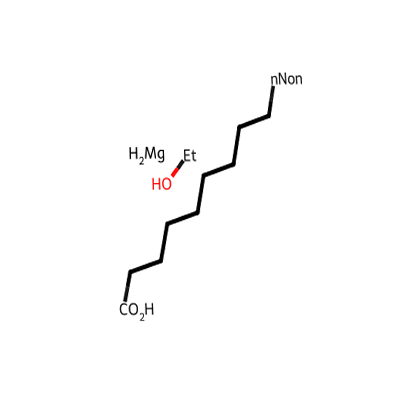 CCCCCCCCCCCCCCCCCC(=O)O.CCO.[MgH2]